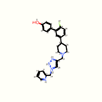 Oc1ccc(-c2cc(C3CCN(Cc4cn(Cc5ccccn5)nn4)CC3)ccc2F)cc1